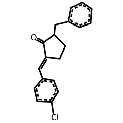 O=C1C(=Cc2ccc(Cl)cc2)CCC1Cc1ccccc1